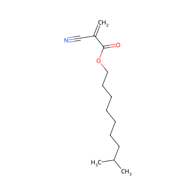 C=C(C#N)C(=O)OCCCCCCCC(C)C